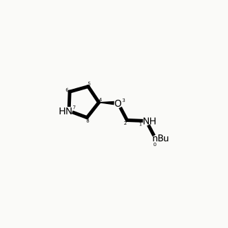 CCCCNCO[C@@H]1CCNC1